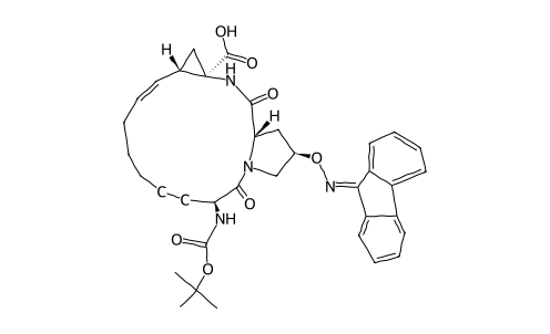 CC(C)(C)OC(=O)N[C@H]1CCCCC/C=C\[C@@H]2C[C@@]2(C(=O)O)NC(=O)[C@@H]2C[C@@H](ON=C3c4ccccc4-c4ccccc43)CN2C1=O